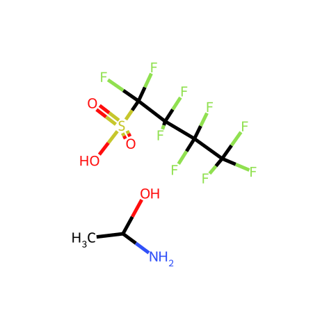 CC(N)O.O=S(=O)(O)C(F)(F)C(F)(F)C(F)(F)C(F)(F)F